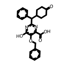 O=C1CCC(C(c2ccccc2)c2nc(O)c(OCc3ccccc3)c(C(=O)O)n2)CC1